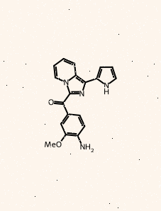 COc1cc(C(=O)c2nc(-c3ccc[nH]3)c3ccccn23)ccc1N